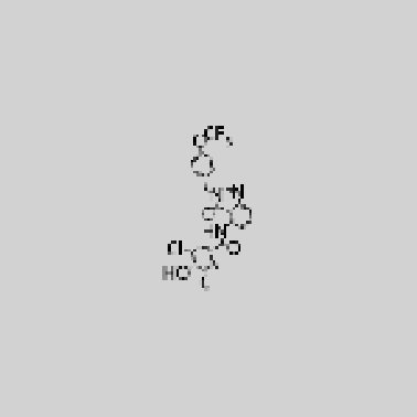 O=C(Nc1cccc2ncn(Cc3ccc(OC(F)(F)F)cc3)c(=O)c12)c1cc(Cl)c(O)c(Cl)n1